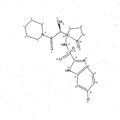 C[C@H](C(=O)N1CCCCC1)[N+]1(NS(=O)(=O)c2nc3ccc(Cl)cc3[nH]2)CCCC1=O